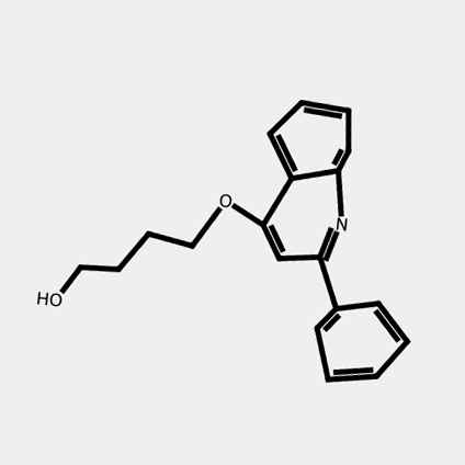 OCCCCOc1cc(-c2ccccc2)nc2ccccc12